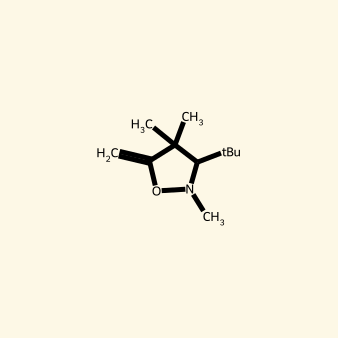 C=C1ON(C)C(C(C)(C)C)C1(C)C